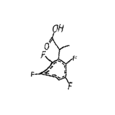 CC(C(=O)O)c1c(F)c(F)cc(F)c1F